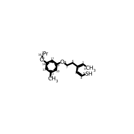 C/C=C(\C=C/S)CCOc1cc(C)cc(OC(C)C)c1